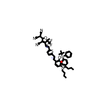 CCCCN(CCCC)c1ccc(/C=C/c2ccc(/C=C/C3=C(C#N)C(C(C#N)C#N)OC3(C)C(F)(F)F)s2)c(O[Si](c2ccccc2)(c2ccccc2)C(C)(C)C)c1